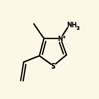 C=Cc1sc[n+](N)c1C